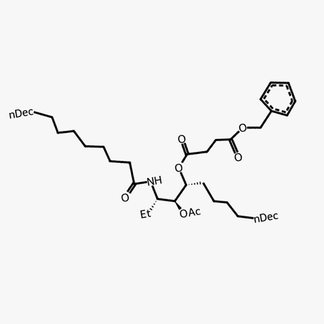 CCCCCCCCCCCCCCCCCC(=O)N[C@@H](CC)[C@H](OC(C)=O)[C@@H](CCCCCCCCCCCCCC)OC(=O)CCC(=O)OCc1ccccc1